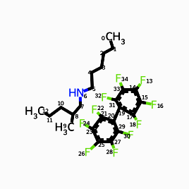 CCCCCCNCC(C)CCC.Fc1c(F)c(F)c(-c2c(F)c(F)c(F)c(F)c2F)c(F)c1F